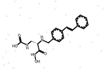 O=C(O)NC[C@H](NCc1ccc(/C=C/c2ccccc2)cc1)C(=O)NO